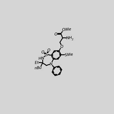 CCCCC1(CC)CN(c2ccccc2)c2cc(SC)c(OCC(N)C(=O)OC)cc2S(=O)(=O)N1